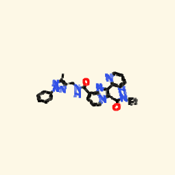 CCNC(=O)c1c(-c2ccccn2)nc2c(C(=O)NCc3nn(-c4ccccc4)nc3C)cccn12